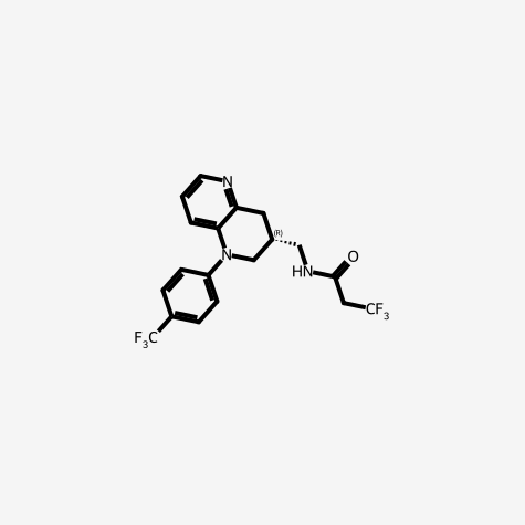 O=C(CC(F)(F)F)NC[C@H]1Cc2ncccc2N(c2ccc(C(F)(F)F)cc2)C1